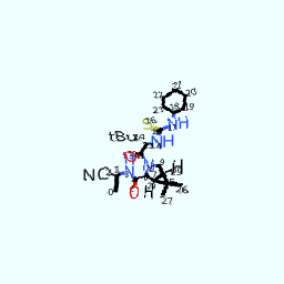 C[C@@H](C#N)NC(=O)[C@@H]1[C@@H]2[C@H](CN1C(=O)[C@@H](NC(=S)NC1CCCCC1)C(C)(C)C)C2(C)C